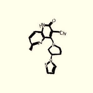 Cc1ccc2[nH]c(=O)c(C#N)c(N3CC[C@@H](n4cccn4)C3)c2n1